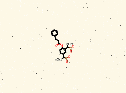 CCCCCCCCC(c1ccc(OC(=O)CCc2ccccc2)c(C(CCCCCCCC)[SH](=O)=O)c1)[SH](=O)=O